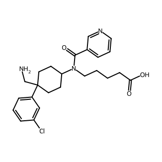 NCC1(c2cccc(Cl)c2)CCC(N(CCCCC(=O)O)C(=O)c2cccnc2)CC1